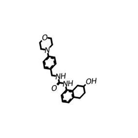 O=C(NCc1ccc(N2CCOCC2)cc1)Nc1cccc2c1CC(O)CC2